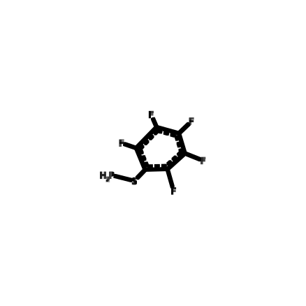 Fc1c(F)c(F)c(SP)c(F)c1F